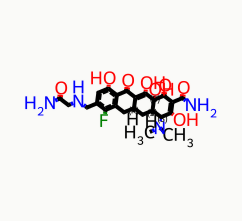 CN(C)[C@@H]1C(O)=C(C(N)=O)C(=O)[C@@]2(O)C(O)=C3C(=O)c4c(O)cc(CNCC(N)=O)c(F)c4C[C@H]3C[C@@H]12